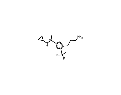 C[C@H](NC1CC1)c1cn(CCCN)c(C(F)(F)F)n1